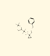 CC1(C)OCC(C(C)(C)S(=O)(=O)C2(COCc3ccccc3)CC2)O1